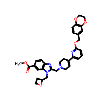 COC(=O)c1ccc2nc(CN3CC=C(c4cccc(OCc5ccc6c(c5)OCCO6)n4)CC3)n(CC3CCO3)c2c1